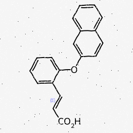 O=C(O)/C=C/c1ccccc1Oc1ccc2ccccc2c1